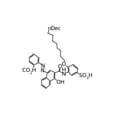 CCCCCCCCCCCCCCCCCCOc1ccc(S(=O)(=O)O)cc1NC(=O)c1cc(/N=N/c2ccccc2C(=O)O)c2ccccc2c1O